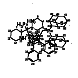 PC(C1CCCCN1)(C1CCCCN1)[C]12[CH]3[C]4(c5ccccc5)[C]5(c6ccccc6)[C]1(CP(C1C6CC7CC(C6)CC1C7)C1C6CC7CC(C6)CC1C7)[Fe]34521678[CH]2[CH]1[CH]6[CH]7[CH]28